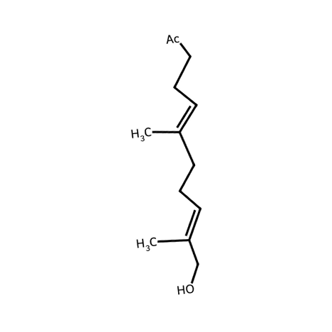 CC(=O)CC/C=C(\C)CC/C=C(\C)CO